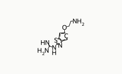 N=C(N)Nc1nc2ccc(OCCN)cc2s1